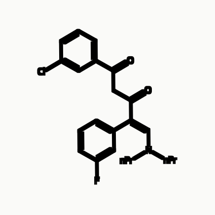 CCCN(C=C(C(=O)CC(=O)c1cccc(Cl)c1)c1cccc(F)c1)CCC